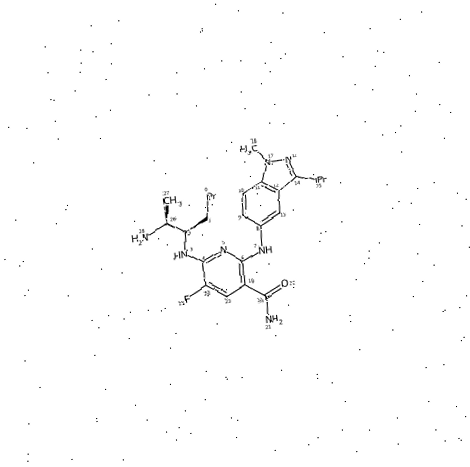 CC(C)C[C@@H](Nc1nc(Nc2ccc3c(c2)c(C(C)C)nn3C)c(C(N)=O)cc1F)[C@H](C)N